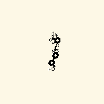 NC(=O)c1c(F)ccc(OCc2nc3cc(-c4cccc(CO)c4)ccc3s2)c1F